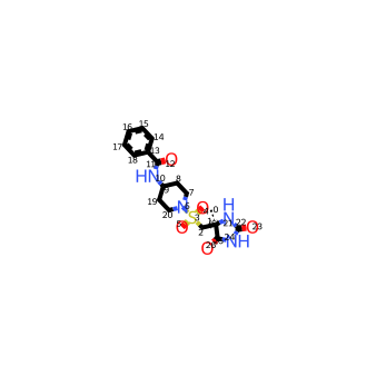 C[C@]1(CS(=O)(=O)N2CCC(NC(=O)c3ccccc3)CC2)NC(=O)NC1=O